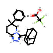 CC1(c2ccccc2)CCc2nnc(C34CC5CC(CC(C5)C3)C4)n2C1.O=C(O)C(F)(F)F